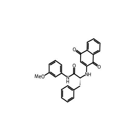 COc1cccc(NC(=O)[C@@H](Cc2ccccc2)NC2=CC(=O)c3ccccc3C2=O)c1